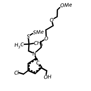 COCCOCCOCCN(CC(C)(C)SSC)c1cc(CO)cc(CCl)c1